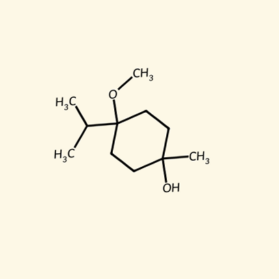 COC1(C(C)C)CCC(C)(O)CC1